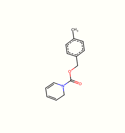 Cc1ccc(COC(=O)N2C=CC=CC2)cc1